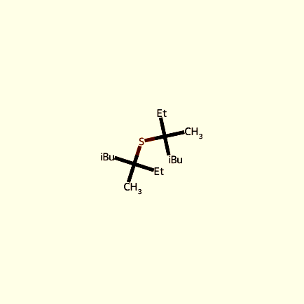 CCC(C)C(C)(CC)SC(C)(CC)C(C)CC